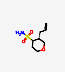 C=CC[C@@H]1COCC[C@H]1S(N)(=O)=O